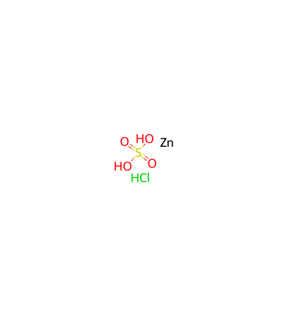 Cl.O=S(=O)(O)O.[Zn]